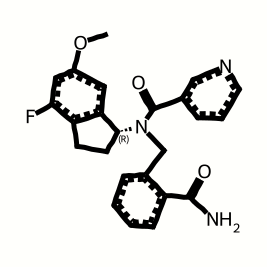 COc1cc(F)c2c(c1)[C@H](N(Cc1ccccc1C(N)=O)C(=O)c1cccnc1)CC2